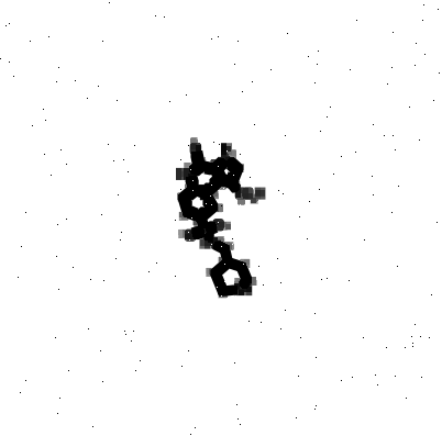 O=C(O)c1c[nH]c2c(=O)[nH]c3ccc(S(=O)(=O)NCC4CCNCC4)cc3c12